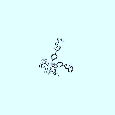 CCOc1nc(-c2ccc(Cn3c(CC(C)(C)C(=O)O)c(SC(C)(C)C)c4cc(OCc5ccccn5)ccc43)cc2)cs1